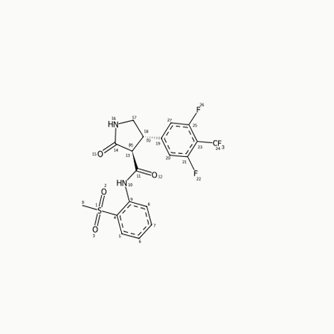 CS(=O)(=O)c1ccccc1NC(=O)[C@H]1C(=O)NC[C@@H]1c1cc(F)c(C(F)(F)F)c(F)c1